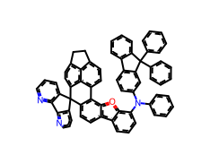 c1ccc(N(c2ccc3c(c2)C(c2ccccc2)(c2ccccc2)c2ccccc2-3)c2cccc3c2oc2c4c(ccc23)C2(c3cccnc3-c3ncccc32)c2ccc3c5c(ccc-4c25)CC3)cc1